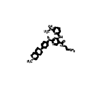 C=CCNC(=O)c1cnc(Nc2ccc(N3CCC4(CCN(C)CC4)CC3)cc2)nc1Nc1cccc(P(C)C)n1